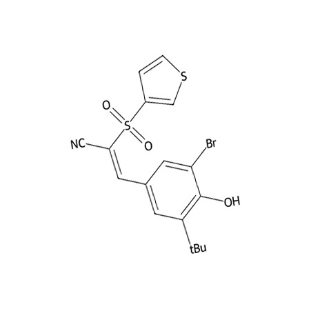 CC(C)(C)c1cc(C=C(C#N)S(=O)(=O)c2ccsc2)cc(Br)c1O